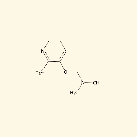 Cc1ncccc1OCN(C)C